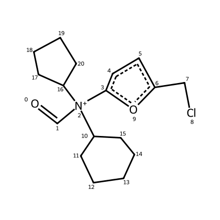 O=C[N+](c1ccc(CCl)o1)(C1CCCCC1)C1CCCC1